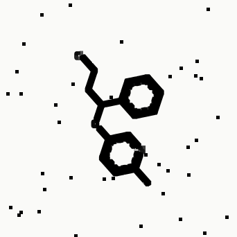 Cc1ccc(OC(CCCl)c2ccccc2)cn1